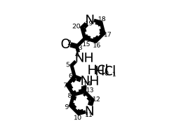 Cl.Cl.O=C(NCc1cc2ccncc2[nH]1)c1cccnc1